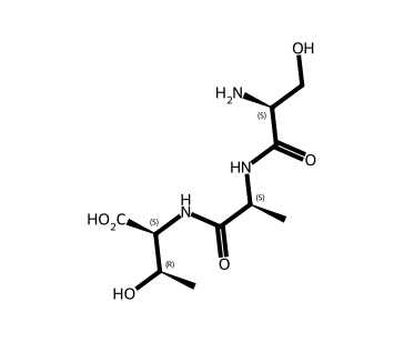 C[C@H](NC(=O)[C@@H](N)CO)C(=O)N[C@H](C(=O)O)[C@@H](C)O